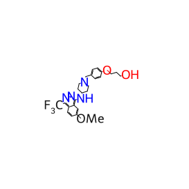 COc1ccc2c(C(F)(F)F)nnc(NC3CCN(Cc4ccc(OCCCO)cc4)CC3)c2c1